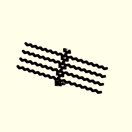 CCCCCCCCCCCCCCCCN(CCCCCCCCCCCCCCCC)C(=S)[S-].CCCCCCCCCCCCCCCCN(CCCCCCCCCCCCCCCC)C(=S)[S-].CCCCCCCCCCCCCCCCN(CCCCCCCCCCCCCCCC)C(=S)[S-].CCCCCCCCCCCCCCCCN(CCCCCCCCCCCCCCCC)C(=S)[S-].O=S.[Mo+4]